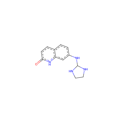 O=c1ccc2ccc(NC3NCCN3)cc2[nH]1